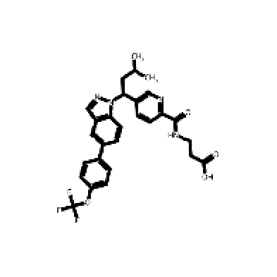 CC(C)CC(c1ccc(C(=O)NCCC(=O)O)nc1)n1ncc2cc(-c3ccc(OC(F)(F)F)cc3)ccc21